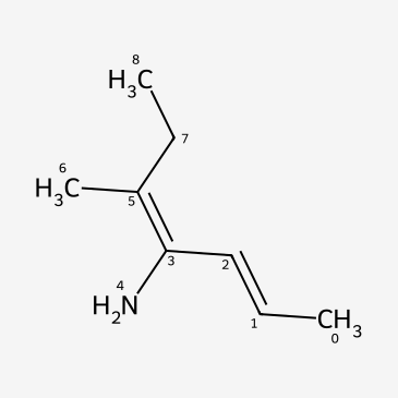 CC=CC(N)=C(C)CC